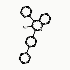 CC(=O)c1c(-c2ccc(-c3ccccc3)cc2)nc2ccccc2c1-c1ccccc1